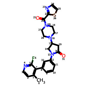 Cc1ccnc(F)c1-c1cccc(N2CC(N3CCN(C(=O)c4nccs4)CC3)CC2=O)c1